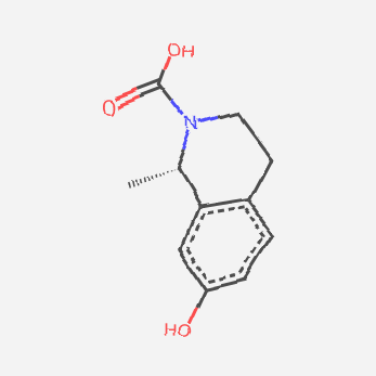 C[C@H]1c2cc(O)ccc2CCN1C(=O)O